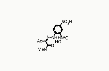 CNC(=O)/C(=N\Nc1ccc(S(=O)(=O)O)cc1[NH+]([O-])O)C(C)=O